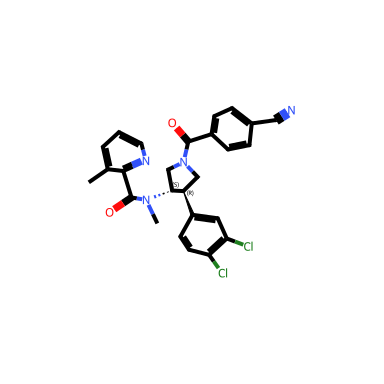 Cc1cccnc1C(=O)N(C)[C@@H]1CN(C(=O)c2ccc(C#N)cc2)C[C@H]1c1ccc(Cl)c(Cl)c1